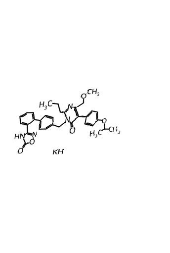 CCCc1nc(COC)c(-c2ccc(OC(C)C)cc2)c(=O)n1Cc1ccc(-c2ccccc2-c2noc(=O)[nH]2)cc1.[KH]